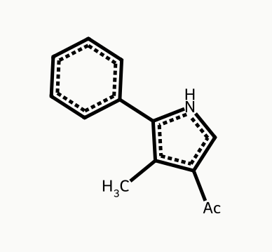 CC(=O)c1c[nH]c(-c2ccccc2)c1C